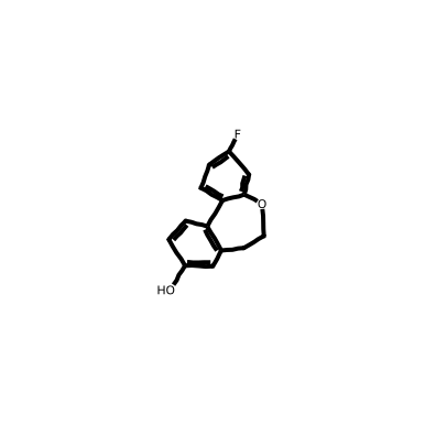 Oc1ccc2c(c1)CCOc1cc(F)ccc1-2